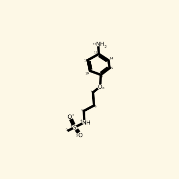 CS(=O)(=O)NCCCOc1ccc(N)cc1